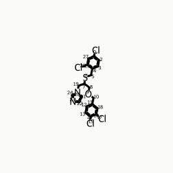 Clc1ccc(CSC(COCc2ccc(Cl)c(Cl)c2)Cn2ccnc2)c(Cl)c1